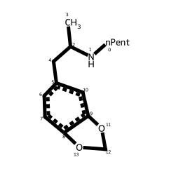 CCCCCNC(C)Cc1ccc2c(c1)OCO2